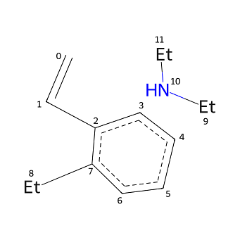 C=Cc1ccccc1CC.CCNCC